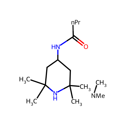 CCCC(=O)NC1CC(C)(C)NC(C)(C)C1.CNC